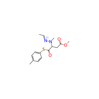 C/C=N/N(C)C(CC(=O)OC)C(=O)Sc1ccc(C)cc1